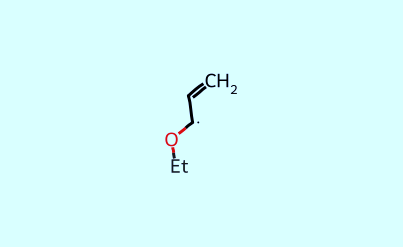 C=C[CH]OCC